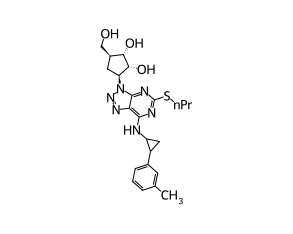 CCCSc1nc(NC2CC2c2cccc(C)c2)c2nnn([C@H]3C[C@@H](CO)[C@H](O)[C@@H]3O)c2n1